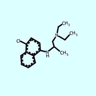 CCN(CC)CC(C)Nc1ccc(Cl)c2ccccc12